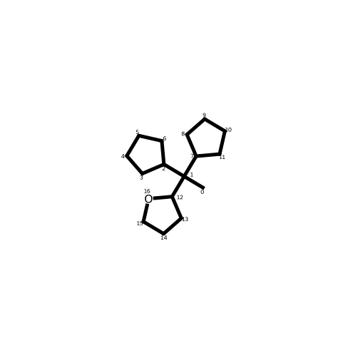 CC(C1CCCC1)(C1CCCC1)C1CCCO1